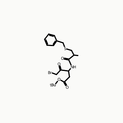 CC(CSCc1ccccc1)C(=O)NC(CC(=O)OC(C)(C)C)C(=O)CBr